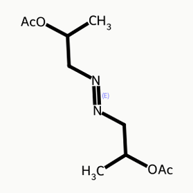 CC(=O)OC(C)C/N=N/CC(C)OC(C)=O